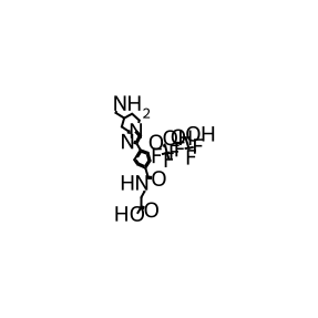 NCC1CCn2cc(-c3ccc(C(=O)NCCC(=O)O)cc3)nc2C1.O=C(O)C(F)(F)F.O=C(O)C(F)(F)F